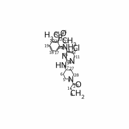 C=CC(=O)N1CCC(Nc2ncc(Cl)c(Nc3ccccc3P(C)(C)=O)n2)CC1